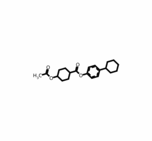 CC(=O)OC1CCC(C(=O)Oc2ccc(C3CCCCC3)cc2)CC1